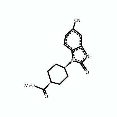 COC(=O)[C@H]1CC[C@@H](n2c(=O)[nH]c3cc(C#N)ccc32)CC1